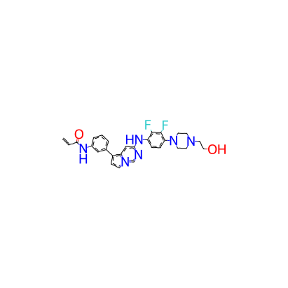 C=CC(=O)Nc1cccc(-c2ccn3cnc(Nc4ccc(N5CCN(CCO)CC5)c(F)c4F)cc23)c1